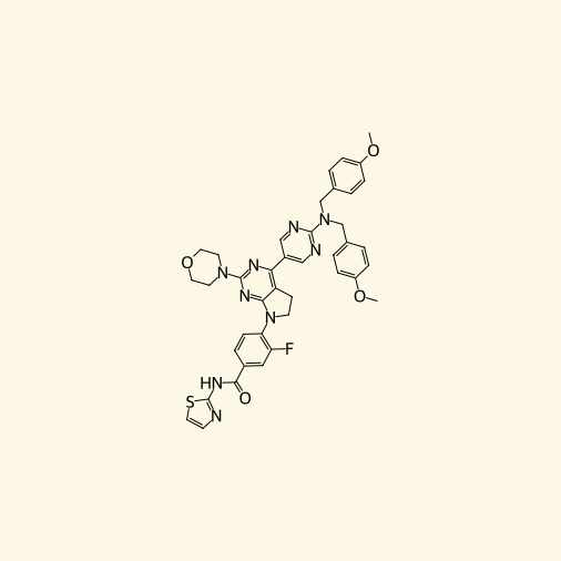 COc1ccc(CN(Cc2ccc(OC)cc2)c2ncc(-c3nc(N4CCOCC4)nc4c3CCN4c3ccc(C(=O)Nc4nccs4)cc3F)cn2)cc1